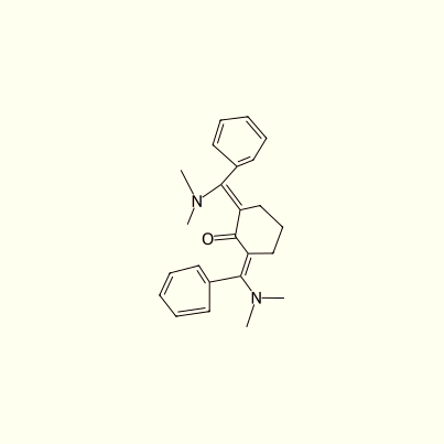 CN(C)C(=C1CCCC(=C(c2ccccc2)N(C)C)C1=O)c1ccccc1